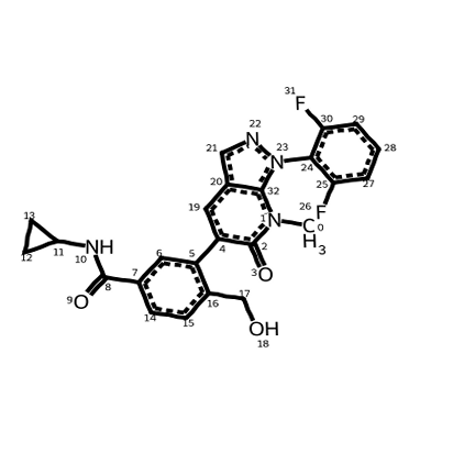 Cn1c(=O)c(-c2cc(C(=O)NC3CC3)ccc2CO)cc2cnn(-c3c(F)cccc3F)c21